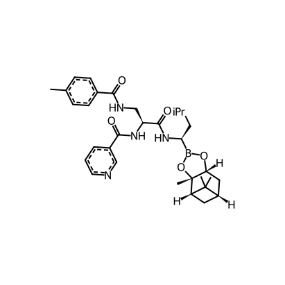 Cc1ccc(C(=O)NC[C@H](NC(=O)c2cccnc2)C(=O)N[C@@H](CC(C)C)B2O[C@@H]3C[C@@H]4C[C@@H](C4(C)C)[C@]3(C)O2)cc1